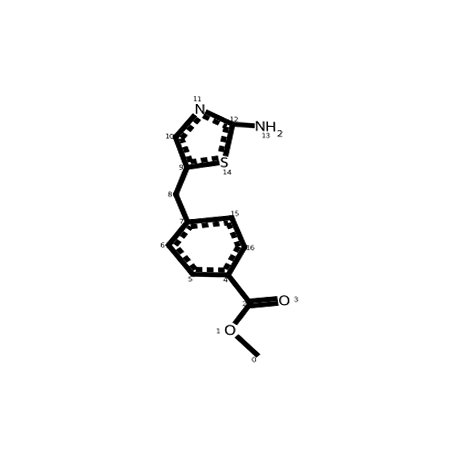 COC(=O)c1ccc(Cc2cnc(N)s2)cc1